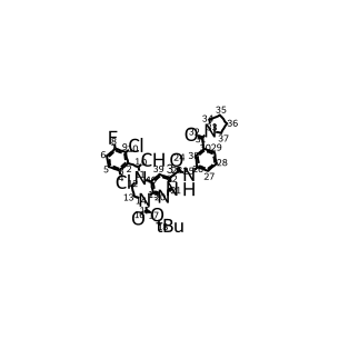 CC(c1c(Cl)ccc(F)c1Cl)N1CCN(C(=O)OC(C)(C)C)c2nnc(C(=O)Nc3cccc(C(=O)N4CCCC4)c3)cc21